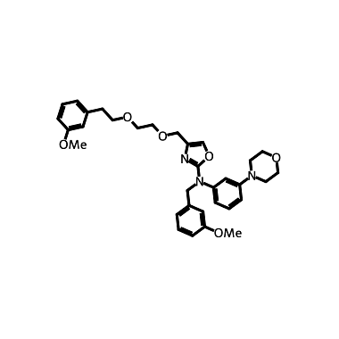 COc1cccc(CCOCCOCc2coc(N(Cc3cccc(OC)c3)c3cccc(N4CCOCC4)c3)n2)c1